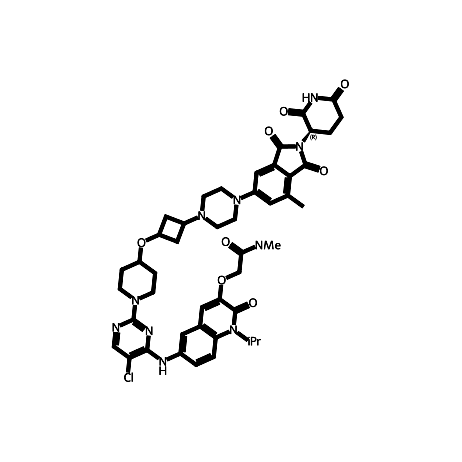 CNC(=O)COc1cc2cc(Nc3nc(N4CCC(OC5CC(N6CCN(c7cc(C)c8c(c7)C(=O)N([C@@H]7CCC(=O)NC7=O)C8=O)CC6)C5)CC4)ncc3Cl)ccc2n(C(C)C)c1=O